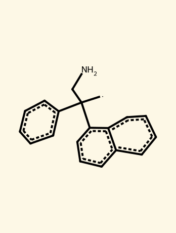 [CH2]C(CN)(c1ccccc1)c1cccc2ccccc12